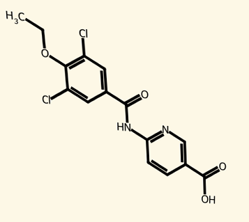 CCOc1c(Cl)cc(C(=O)Nc2ccc(C(=O)O)cn2)cc1Cl